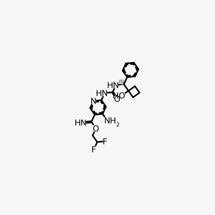 N=C(OCC(F)F)c1cnc(NC(=O)N[C@@H](c2ccccc2)C2(O)CCC2)cc1N